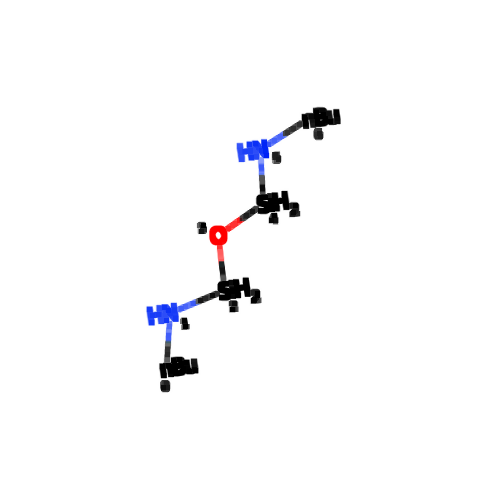 CCCCN[SiH2]O[SiH2]NCCCC